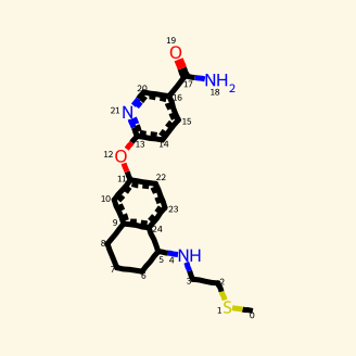 CSCCNC1CCCc2cc(Oc3ccc(C(N)=O)cn3)ccc21